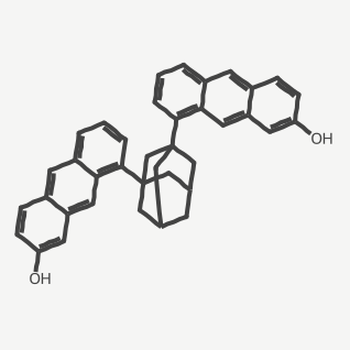 Oc1ccc2cc3cccc(C45CC6CC(C4)CC(c4cccc7cc8ccc(O)cc8cc47)(C6)C5)c3cc2c1